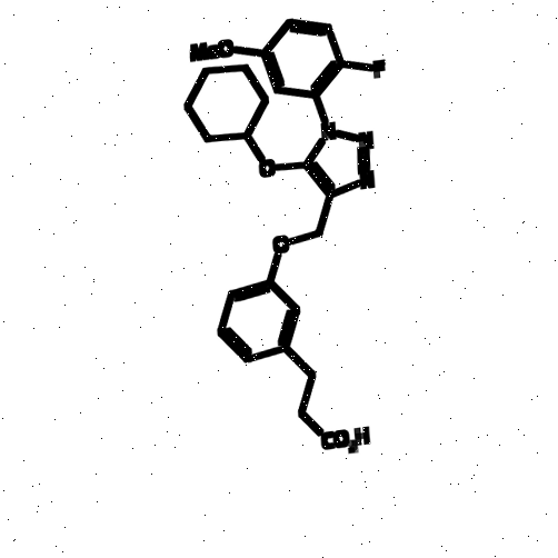 COc1ccc(F)c(-n2nnc(COc3cccc(CCC(=O)O)c3)c2OC2CCCCC2)c1